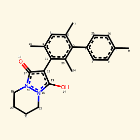 Cc1ccc(-c2c(C)cc(C)c(-c3c(O)n4n(c3=O)CCCC4)c2C)cc1